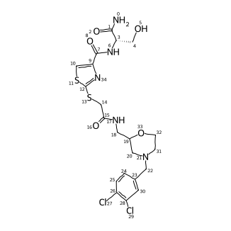 NC(=O)[C@H](CO)NC(=O)c1csc(SCC(=O)NCC2CN(Cc3ccc(Cl)c(Cl)c3)CCO2)n1